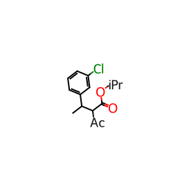 CC(=O)C(C(=O)OC(C)C)C(C)c1cccc(Cl)c1